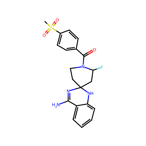 CS(=O)(=O)c1ccc(C(=O)N2CCC3(CC2F)N=C(N)c2ccccc2N3)cc1